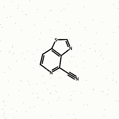 N#Cc1nccc2scnc12